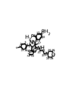 Cc1ccc(C2=NN(c3ccc(P)cc3P)C(C)(C(=O)NCCCN3CCOCC3)C2c2cccs2)cc1